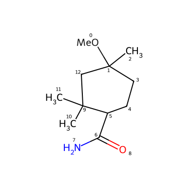 COC1(C)CCC(C(N)=O)C(C)(C)C1